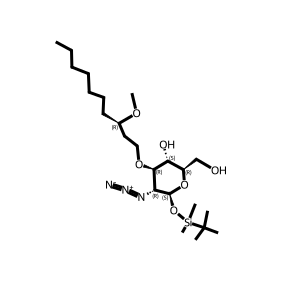 CCCCCCC[C@H](CCO[C@H]1[C@H](O)[C@@H](CO)O[C@@H](O[Si](C)(C)C(C)(C)C)[C@@H]1N=[N+]=[N-])OC